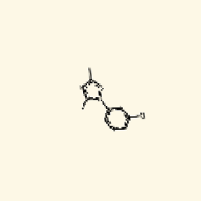 Cc1nc(C)n(-c2cccc(Cl)c2)n1